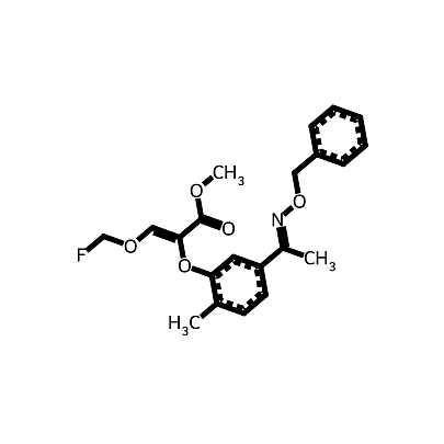 COC(=O)/C(=C/OCF)Oc1cc(C(C)=NOCc2ccccc2)ccc1C